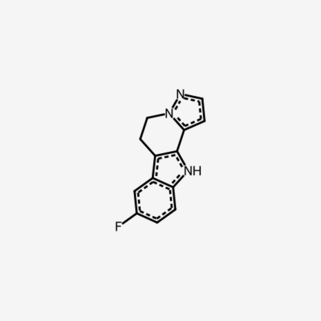 Fc1ccc2[nH]c3c(c2c1)CCn1nccc1-3